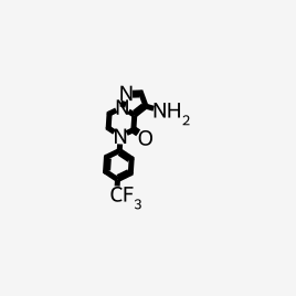 Nc1cnn2c1C(=O)N(c1ccc(C(F)(F)F)cc1)CC2